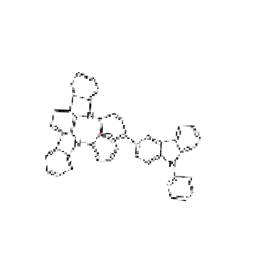 c1ccc(-n2c3ccccc3c3cc(-c4ccc(-n5c6ccccc6c6ccc7c8ccccc8n(-c8ccccc8)c7c65)cc4)ccc32)cc1